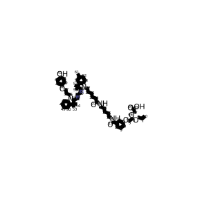 C=CCOC(COc1cccc(C(=O)NCCCCCNC(=O)CCCCCN2/C(=C/C=C/C3=[N+](CCCOc4ccc(O)cc4)c4ccccc4C3(C)C)C(C)(C)c3cc(C)ccc32)c1)OCC(=O)O